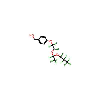 OCc1ccc(OC(F)(F)C(F)OC(F)(OC(F)(F)C(F)(F)C(F)(F)F)C(F)(F)F)cc1